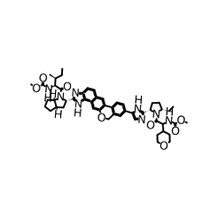 CC[C@H]1CC[C@@H](c2ncc(-c3ccc4c(c3)COc3cc5c(ccc6nc([C@@H]7C[C@@H]8CCC[C@@H]8N7C(=O)[C@@H](NC(=O)OC)[C@@H](C)CC)[nH]c65)cc3-4)[nH]2)N1C(=O)C(NC(=O)OC)C1CCOCC1